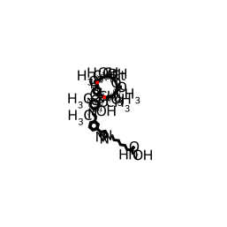 CC[C@H]1OC(=O)[C@H](C)[C@@H](O)[C@H](C)[C@@H](O[C@@H]2O[C@H](C)C[C@H](N(C)Cc3cccc(C4CN(CCCCCCC(=O)NO)N=N4)c3)[C@H]2O)[C@@]2(C)C[C@@H](CO2)C(=O)[C@H](C)[C@@H](O)[C@]1(C)O